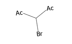 CC(=O)C(Br)C(C)=O